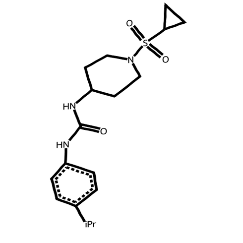 CC(C)c1ccc(NC(=O)NC2CCN(S(=O)(=O)C3CC3)CC2)cc1